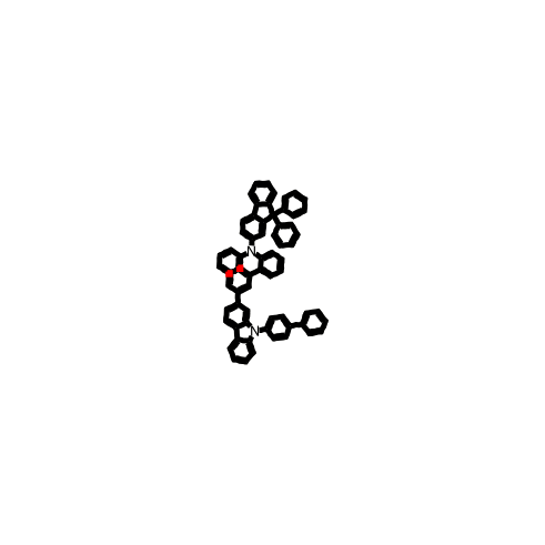 c1ccc(-c2ccc(-n3c4ccccc4c4ccc(-c5cccc(-c6ccccc6N(c6ccccc6)c6ccc7c(c6)C(c6ccccc6)(c6ccccc6)c6ccccc6-7)c5)cc43)cc2)cc1